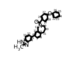 Cc1nc2cc(-c3ccc4c(c3)CN(C(=O)c3ccc(Oc5ccccc5)cc3)CCC4)ccc2[nH]1